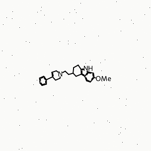 COc1ccc2c3c([nH]c2c1)CCC(CCN1CC=C(c2ccccc2)CC1)C3